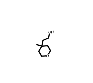 CC1(CCO)CCOCC1